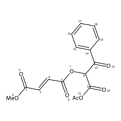 COC(=O)C=CC(=O)OC(C(=O)OC(C)=O)C(=O)c1ccccc1